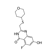 O=c1[nH]c(CSC2CCOCC2)nc2cc(O)cc(F)c12